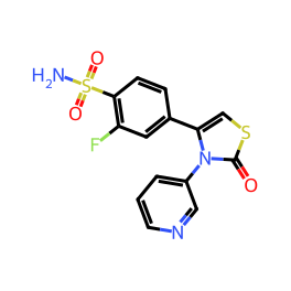 NS(=O)(=O)c1ccc(-c2csc(=O)n2-c2cccnc2)cc1F